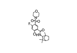 CC12CCC(C1)C(C)(C)C2NC(=O)c1cc(S(=O)(=O)N2CCOCC2)c(F)cc1Cl